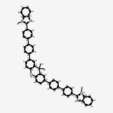 Cn1c(-c2ccc(-c3ccc(-c4ccc5c(c4)C(C)(C)c4cc(-c6ccc(-c7ccc(-c8nc9ccccc9n8C)cc7)cc6)ccc4O5)cc3)cc2)nc2ccccc21